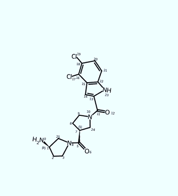 N[C@@H]1CCN(C(=O)[C@H]2CCN(C(=O)c3cc4c(Cl)c(Cl)ccc4[nH]3)C2)C1